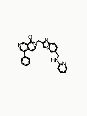 O=c1c2cncc(-c3ccccc3)c2ccn1Cc1cn2cc(CNc3ccccn3)ccc2n1